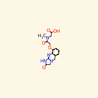 CN(CC(=O)O)C(=O)COc1cccc2c1N=C1NC(=O)CN1C2